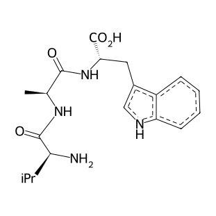 CC(C)[C@H](N)C(=O)N[C@@H](C)C(=O)N[C@@H](Cc1c[nH]c2ccccc12)C(=O)O